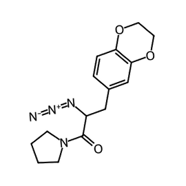 [N-]=[N+]=NC(Cc1ccc2c(c1)OCCO2)C(=O)N1CCCC1